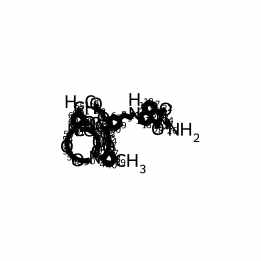 COCCOc1cc(CCNc2ccc3c4c(cccc24)C(=O)N(CCN)C3=O)ccc1N1CCOc2cc(C)ccc2N2CCOCCOCCN(CCOCCOCC2)c2ccc(C)cc2OCC1